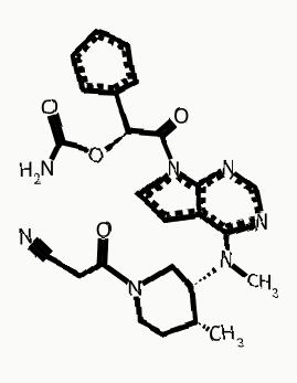 C[C@@H]1CCN(C(=O)CC#N)C[C@@H]1N(C)c1ncnc2c1ccn2C(=O)[C@@H](OC(N)=O)c1ccccc1